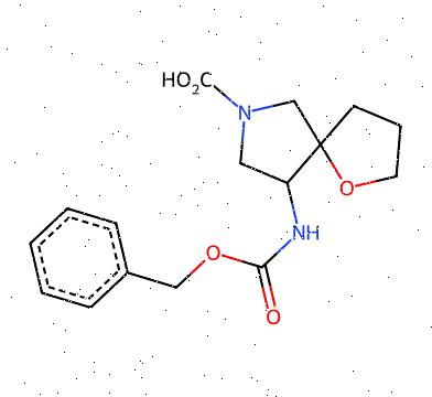 O=C(NC1CN(C(=O)O)CC12CCCO2)OCc1ccccc1